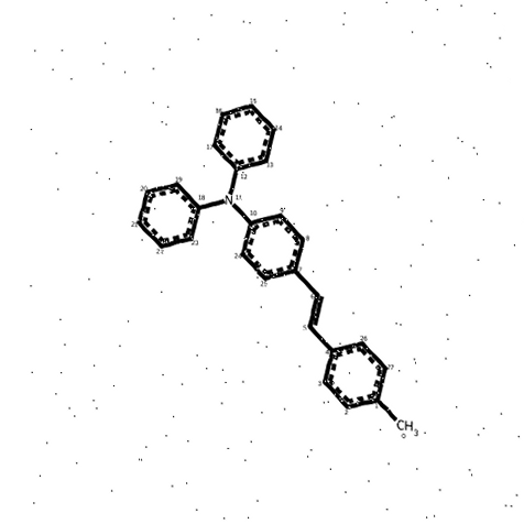 Cc1ccc(C=Cc2ccc(N(c3ccccc3)c3ccccc3)cc2)cc1